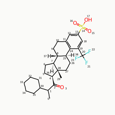 CC(C(=O)[C@H]1CC[C@H]2[C@@H]3CCc4cc(S(=O)(=O)O)cc(C(F)(F)F)c4[C@H]3CC[C@]12C)C1CCCCC1